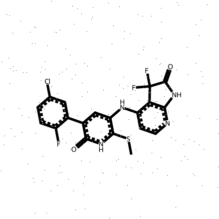 CSc1[nH]c(=O)c(-c2cc(Cl)ccc2F)cc1Nc1ccnc2c1C(F)(F)C(=O)N2